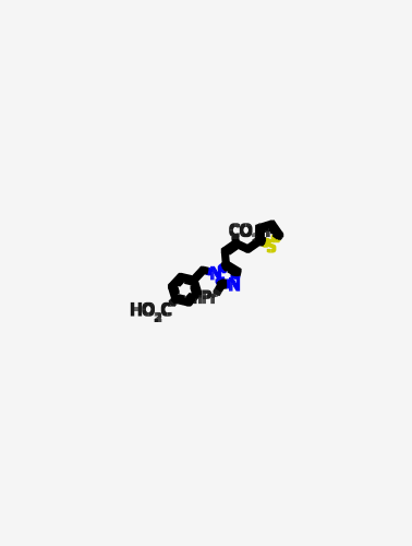 CCCc1ncc(C=C(Cc2cccs2)C(=O)O)n1Cc1ccc(C(=O)O)cc1